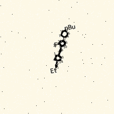 CCC#Cc1ccc(C#Cc2ccc([C@H]3CC[C@H](CCCC)CC3)cc2F)cc1